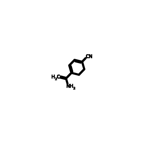 C=C(N)C1=CC=C(C#N)CC1